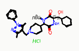 CCCCN1C(=O)[C@@H]([C@H](O)C2CCCCC2)NC(=O)C1C1CCN(Cc2c(C)nn(-c3ccccc3)c2C)CC1.Cl